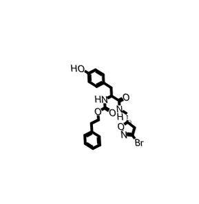 O=C(NC(Cc1ccc(O)cc1)C(=O)NC[C@@H]1CC(Br)=NO1)OCCc1ccccc1